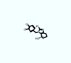 CC(C)c1nc2c(n1Cc1ccc(Cl)c(Cl)c1)[C@H](O)CCC2